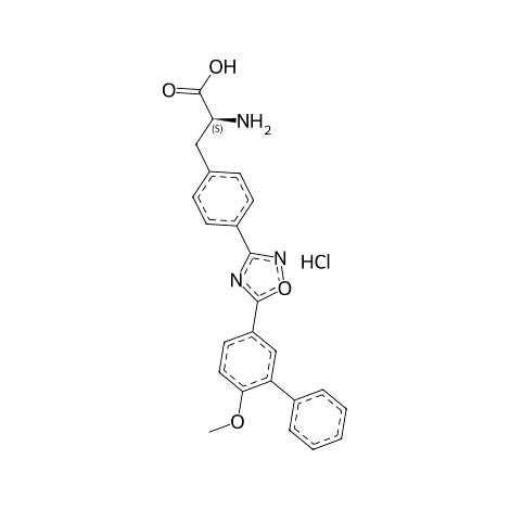 COc1ccc(-c2nc(-c3ccc(C[C@H](N)C(=O)O)cc3)no2)cc1-c1ccccc1.Cl